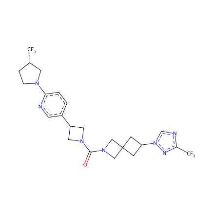 O=C(N1CC(c2ccc(N3CC[C@H](C(F)(F)F)C3)nc2)C1)N1CC2(CC(n3cnc(C(F)(F)F)n3)C2)C1